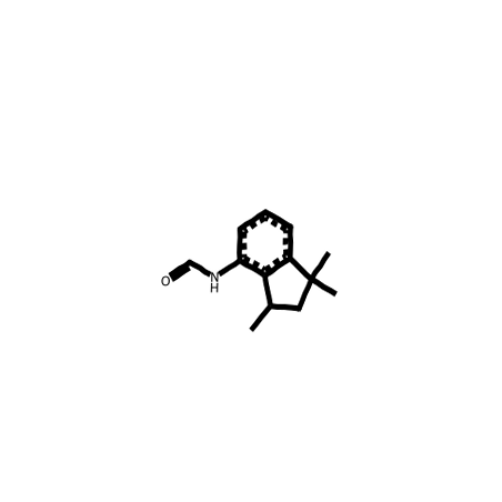 CC1CC(C)(C)c2cccc(NC=O)c21